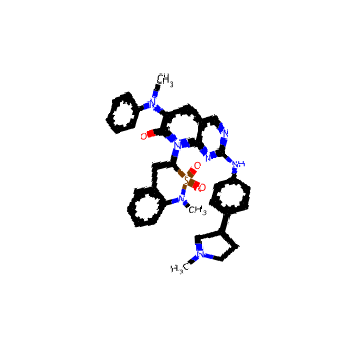 CN1CCC(c2ccc(Nc3ncc4cc(N(C)c5ccccc5)c(=O)n(C5Cc6ccccc6N(C)S5(=O)=O)c4n3)cc2)C1